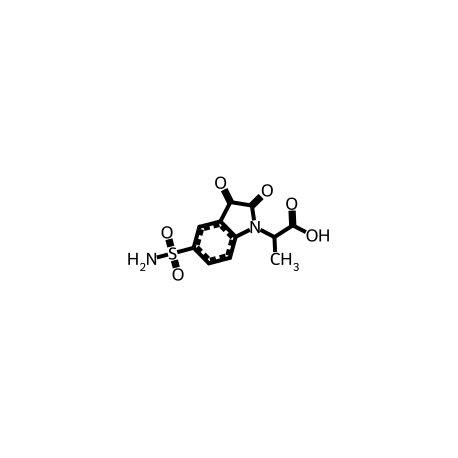 CC(C(=O)O)N1C(=O)C(=O)c2cc(S(N)(=O)=O)ccc21